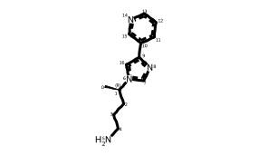 C[C@H](CCCN)n1cnc(-c2cccnc2)c1